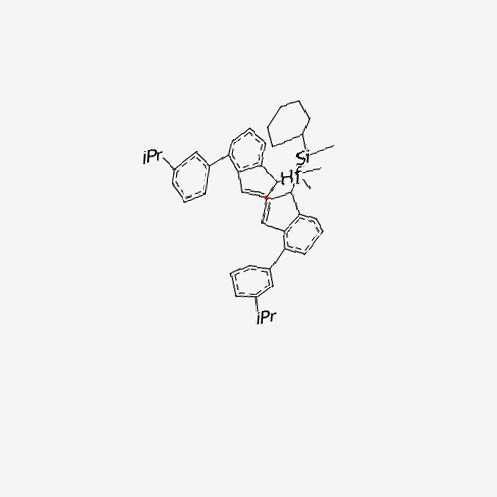 CC(C)c1cccc(-c2cccc3c2C=C[CH]3[Hf]([CH3])([CH3])([CH]2C=Cc3c(-c4cccc(C(C)C)c4)cccc32)=[Si](C)C2CCCCC2)c1